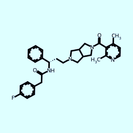 Cc1ccnc(C)c1C(=O)N1CC2CN(CC[C@H](NC(=O)Cc3ccc(F)cc3)c3ccccc3)CC2C1